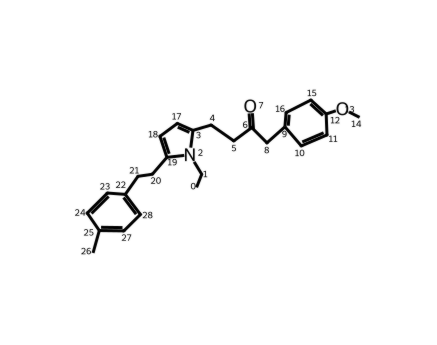 CCn1c(CCC(=O)Cc2ccc(OC)cc2)ccc1CCc1ccc(C)cc1